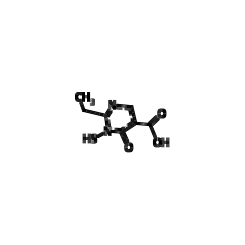 CCc1ncc(C(=O)O)c(=O)n1S